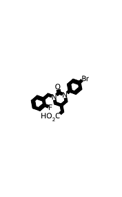 O=C(O)CC1CN(Cc2ccccc2F)C(=O)N(c2ccc(Br)cc2)C1